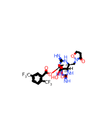 N=C1N[C@H]2[C@H](CN3OCCC3=O)NC(=N)N3C[C@H](OC(=O)c4cc(C(F)(F)F)ccc4C(F)(F)F)C(O)(O)[C@]23N1